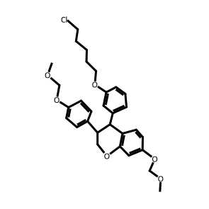 COCOc1ccc(C2COc3cc(OCOC)ccc3C2c2cccc(OCCCCCCl)c2)cc1